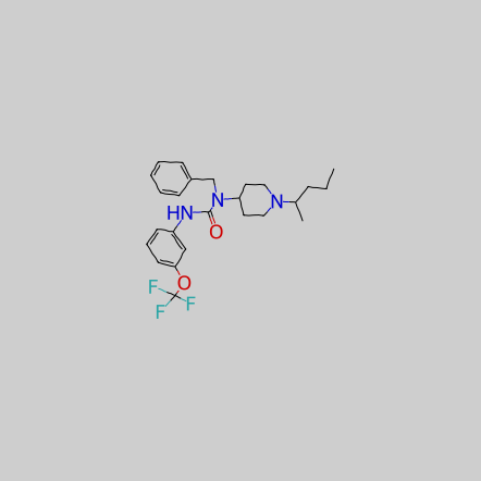 CCCC(C)N1CCC(N(Cc2ccccc2)C(=O)Nc2cccc(OC(F)(F)F)c2)CC1